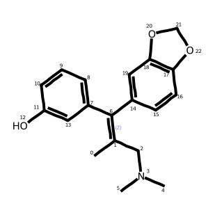 C/C(CN(C)C)=C(\c1cccc(O)c1)c1ccc2c(c1)OCO2